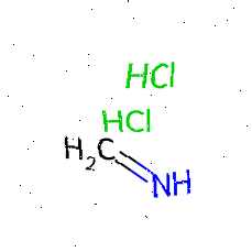 C=N.Cl.Cl